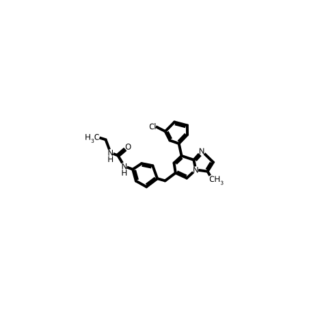 CCNC(=O)Nc1ccc(Cc2cc(-c3cccc(Cl)c3)c3ncc(C)n3c2)cc1